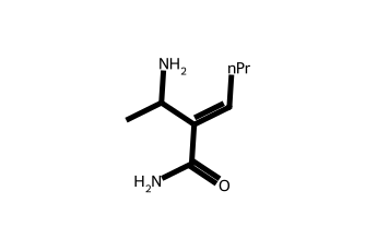 CCCC=C(C(N)=O)C(C)N